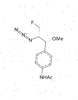 CO[C@H](c1ccc(NC(C)=O)cc1)[C@@H](CF)N=[N+]=[N-]